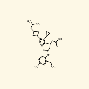 CCc1cc(C)ccc1NC(=O)CC(CC(=O)O)c1noc(C2CC(CC(C)C)C2)c1C1CC1